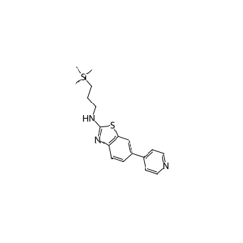 C[Si](C)(C)CCCNc1nc2ccc(-c3ccncc3)cc2s1